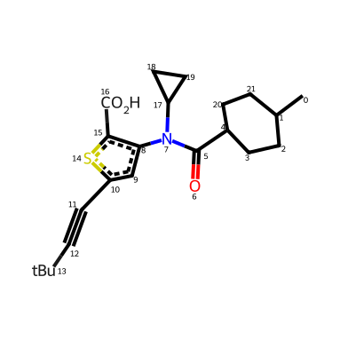 CC1CCC(C(=O)N(c2cc(C#CC(C)(C)C)sc2C(=O)O)C2CC2)CC1